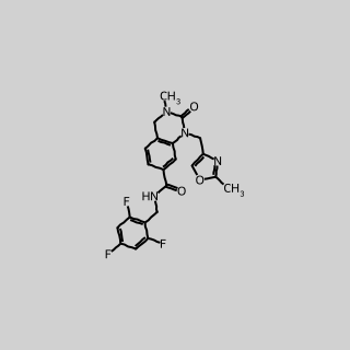 Cc1nc(CN2C(=O)N(C)Cc3ccc(C(=O)NCc4c(F)cc(F)cc4F)cc32)co1